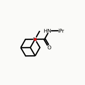 CC(C)NC(=O)CC1C2CC1CN(C)C2